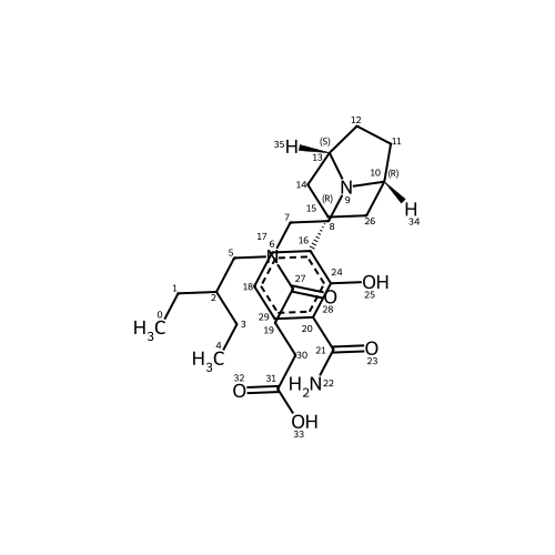 CCC(CC)CN(CCN1[C@@H]2CC[C@H]1C[C@@H](c1cccc(C(N)=O)c1O)C2)C(=O)CCC(=O)O